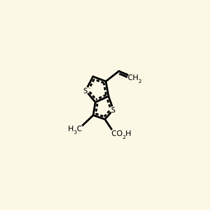 C=Cc1csc2c(C)c(C(=O)O)sc12